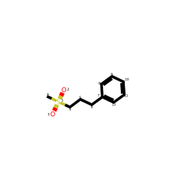 CS(=O)(=O)CCCc1[c]cccc1